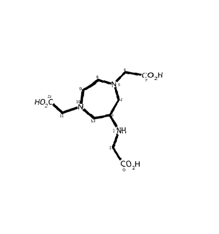 O=C(O)CNC1CN(CC(=O)O)CCN(CC(=O)O)C1